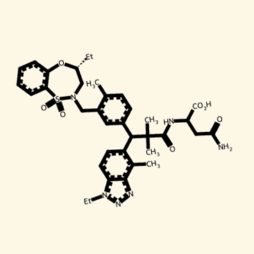 CC[C@@H]1CN(Cc2cc(C(c3ccc4c(nnn4CC)c3C)C(C)(C)C(=O)NC(CC(N)=O)C(=O)O)ccc2C)S(=O)(=O)c2ccccc2O1